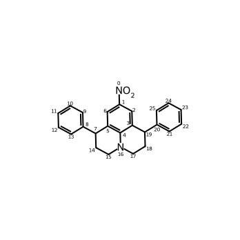 O=[N+]([O-])c1cc2c3c(c1)C(c1ccccc1)CCN3CCC2c1ccccc1